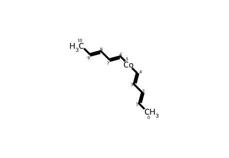 CC=CC=[CH][Co][CH]=CC=CC